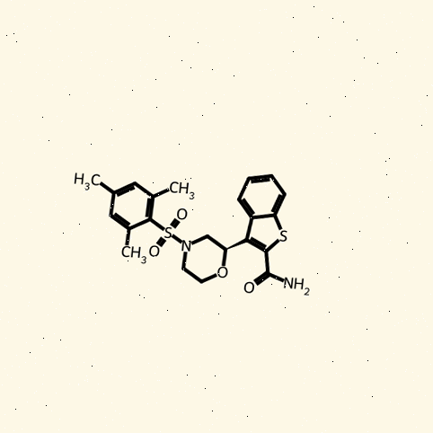 Cc1cc(C)c(S(=O)(=O)N2CCO[C@H](c3c(C(N)=O)sc4ccccc34)C2)c(C)c1